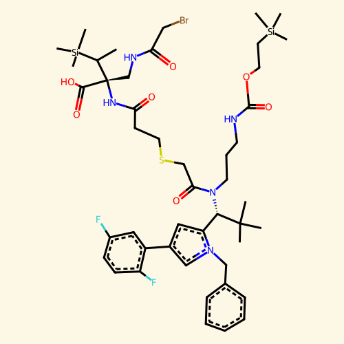 CC([C@](CNC(=O)CBr)(NC(=O)CCSCC(=O)N(CCCNC(=O)OCC[Si](C)(C)C)[C@@H](c1cc(-c2cc(F)ccc2F)cn1Cc1ccccc1)C(C)(C)C)C(=O)O)[Si](C)(C)C